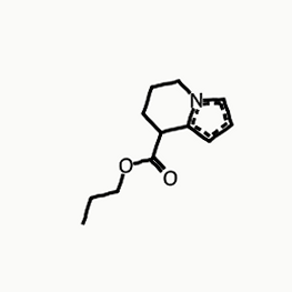 CCCOC(=O)C1CCCn2cccc21